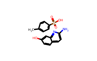 Cc1ccc(S(=O)(=O)O)cc1.Nc1ccc2ccc(O)cc2n1